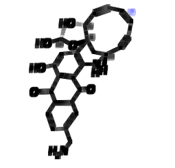 C[C@@H](O)O[C@]12C[C@H](C#C/C=C\C#C[C@H]1O)Nc1c2cc(O)c2c1C(=O)c1cc(CN)ccc1C2=O